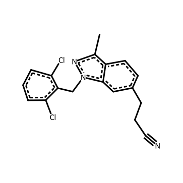 Cc1nn(Cc2c(Cl)cccc2Cl)c2cc(CCC#N)ccc12